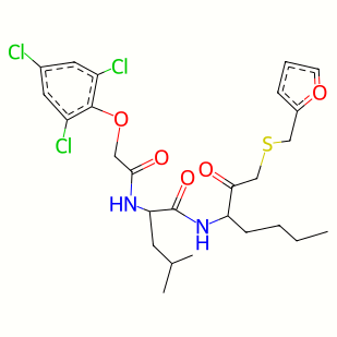 CCCCC(NC(=O)C(CC(C)C)NC(=O)COc1c(Cl)cc(Cl)cc1Cl)C(=O)CSCc1ccco1